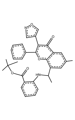 Cc1cc(C(C)Nc2ccccc2C(=O)OC(C)(C)C)c2oc(-c3ccccc3)c(-c3cnoc3)c(=O)c2c1